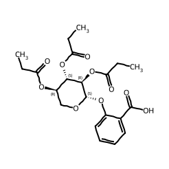 CCC(=O)O[C@@H]1[C@@H](OC(=O)CC)[C@H](Oc2ccccc2C(=O)O)OC[C@H]1OC(=O)CC